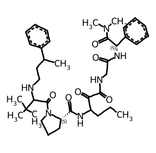 CCCC(NC(=O)[C@@H]1CCCN1C(=O)C(NCCC(C)c1ccccc1)C(C)(C)C)C(=O)C(=O)NCC(=O)N[C@H](C(=O)N(C)C)c1ccccc1